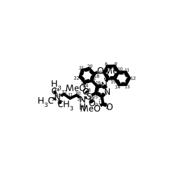 COC(=O)c1nn(-c2cccc3ccccc23)c(-c2c(OC)cccc2OC)c1S(=O)(=O)NCCC[N+](C)(C)C